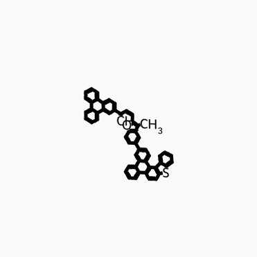 C=C(/C=C\c1oc2ccc(-c3ccc4c(c3)c3ccccc3c3ccc5sc6ccccc6c5c34)cc2c1C)c1ccc2c3ccccc3c3ccccc3c2c1